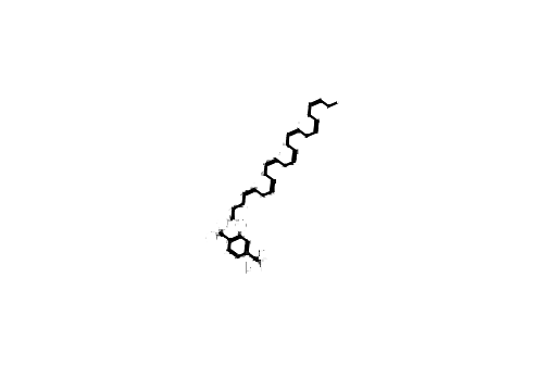 CC/C=C\C/C=C\C/C=C\C/C=C\C/C=C\C/C=C\C/C=C\CCC1OC(=O)c2ccc(C(F)(F)F)cc2O1